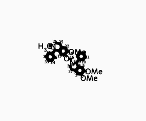 COc1cc2c(cc1OC)C(c1ccccc1)N(COc1cc3c(cc1OC)CCN(C)C3c1ccccc1)CC2